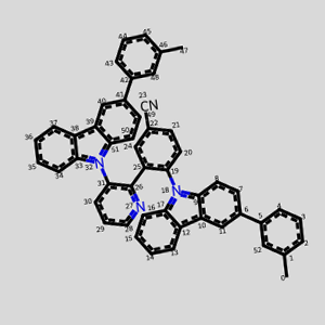 Cc1cccc(-c2ccc3c(c2)c2ccccc2n3-c2ccc(C#N)cc2-c2ncccc2-n2c3ccccc3c3cc(-c4cccc(C)c4)ccc32)c1